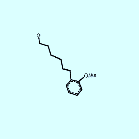 COc1ccccc1CCCCCC[O]